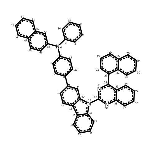 c1ccc(N(c2ccc(-c3ccc4c5ccccc5n(-c5nc(-c6cccc7ccccc67)c6ccccc6n5)c4c3)cc2)c2ccc3ccccc3c2)cc1